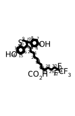 C[C@@]1(c2ccc(O)cc2)CSc2cc(O)ccc2[C@@H]1CCCCCCCC[C@H](CCCC(F)(F)C(F)(F)F)C(=O)O